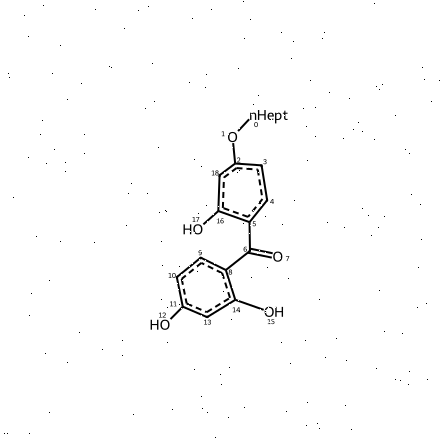 CCCCCCCOc1ccc(C(=O)c2ccc(O)cc2O)c(O)c1